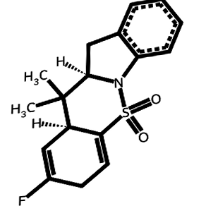 CC1(C)[C@@H]2C=C(F)CC=C2S(=O)(=O)N2c3ccccc3C[C@@H]21